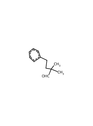 CC(C)(C=O)CCc1ccccc1